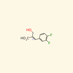 O=C(O)/C(=C/c1ccc(F)c(F)c1)CO